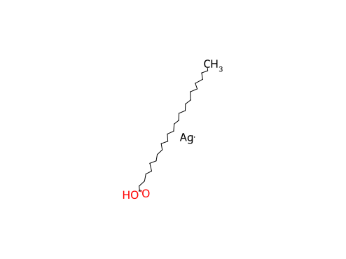 CCCCCCCCCCCCCCCCCCCCCCCCCC(=O)O.[Ag]